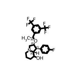 C[C@@H](O[C@H]1CN2CCCC(O)[C@H]2[C@@H]1c1ccc(F)cc1)c1cc(C(F)(F)F)cc(C(F)(F)F)c1